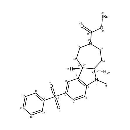 CN1c2ccc(S(=O)(=O)c3ccccc3)cc2[C@@H]2CCN(C(=O)OC(C)(C)C)CC[C@H]21